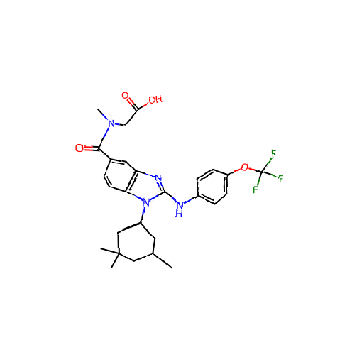 CC1CC(n2c(Nc3ccc(OC(F)(F)F)cc3)nc3cc(C(=O)N(C)CC(=O)O)ccc32)CC(C)(C)C1